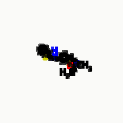 C=CC(=O)N(C)Cc1cc2ccc(CNCc3cc4ccccc4s3)cc2s1